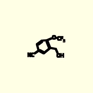 N#Cc1ccc(OC(F)(F)F)c(CO)c1